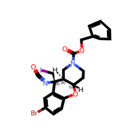 O=C=N[C@@]1(CI)c2cc(Br)ccc2O[C@H]2CCN(C(=O)OCc3ccccc3)C[C@@H]21